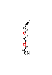 C#CCCOCCCOCCC#N